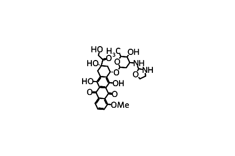 COc1cccc2c1C(=O)c1c(O)c3c(c(O)c1C2=O)C[C@@](O)(C(=O)CO)C[C@@H]3OC1CC(NC2NCCO2)C(O)C(C)O1